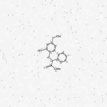 CCCc1cc(CO)ccc1OC(C(=O)OC)c1ccccc1